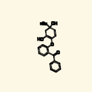 CCCCC1(O)C=CC(Oc2ccccc2C(=O)c2ccccc2)=C(O)C1